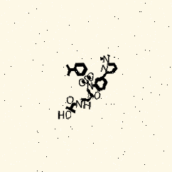 CC(C)c1cccc(S(=O)(=O)N2C[C@H](CCNC(=O)C(C)(C)O)Oc3ccc(-c4cccc(N(C)C)n4)cc32)c1